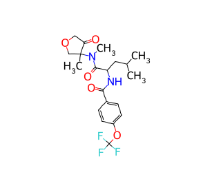 CC(C)CC(NC(=O)c1ccc(OC(F)(F)F)cc1)C(=O)N(C)C1(C)COCC1=O